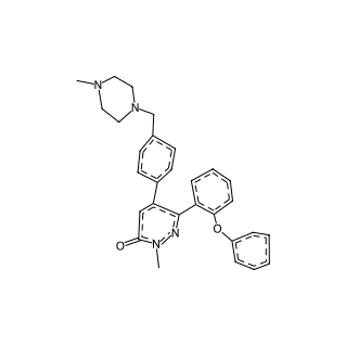 CN1CCN(Cc2ccc(-c3cc(=O)n(C)nc3-c3ccccc3Oc3ccccc3)cc2)CC1